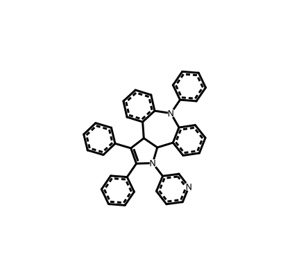 c1ccc(C2=C(c3ccccc3)N(c3cccnc3)C3c4ccccc4N(c4ccccc4)c4ccccc4C23)cc1